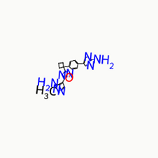 Cn1ncc(-c2nc(C3(c4ccc(-c5cnc(N)nc5)cc4)CCC3)no2)c1N